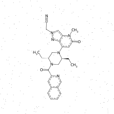 CC[C@@H]1CN(c2cc(=O)n(C)c3cn(CC#N)nc23)[C@@H](CC)CN1C(=O)c1cc2ccccc2cn1